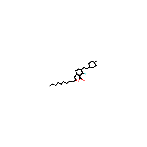 CCCCCCCCCc1cc2ccc(CCC3CCC(C)CC3)c(F)c2c(=O)o1